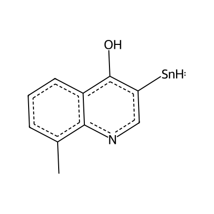 Cc1cccc2c(O)[c]([SnH])cnc12